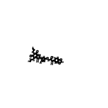 C=CCn1c(=O)c2nc(-c3cc(OCC(=O)Nc4ccc5c(c4)OCO5)nn3C)[nH]c2n(CC=C)c1=O